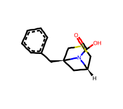 O=C(O)N1[C@@H]2CSC[C@@]1(Cc1ccccc1)C2